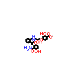 COC(=O)c1ccc(OCC(O)CNCc2ccccc2C(C)COc2ccc(O)c(C(N)=O)c2)cc1O